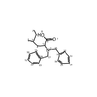 CCC(C)CC(C(=O)O)N(Cc1ccccc1)Cc1ccccc1